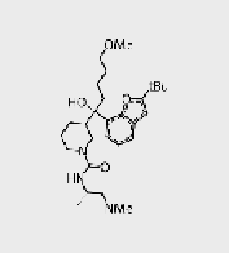 CNC[C@H](C)NC(=O)N1CCC[C@@H]([C@@](O)(CCCCOC)c2cccc3cc(C(C)(C)C)oc23)C1